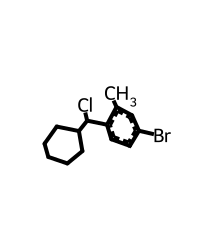 Cc1cc(Br)ccc1C(Cl)C1CCCCC1